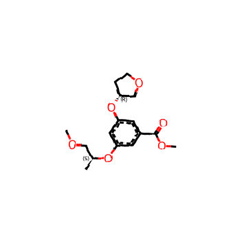 COC[C@H](C)Oc1cc(O[C@@H]2CCOC2)cc(C(=O)OC)c1